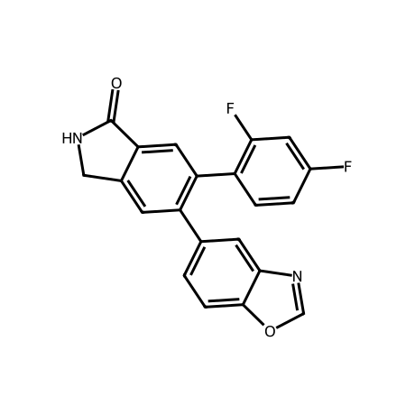 O=C1NCc2cc(-c3ccc4ocnc4c3)c(-c3ccc(F)cc3F)cc21